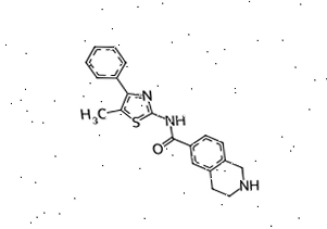 Cc1sc(NC(=O)c2ccc3c(c2)CCNC3)nc1-c1ccccc1